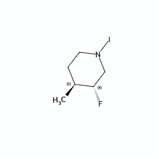 C[C@H]1CCN(I)C[C@@H]1F